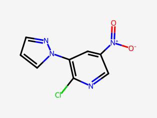 O=[N+]([O-])c1cnc(Cl)c(-n2cccn2)c1